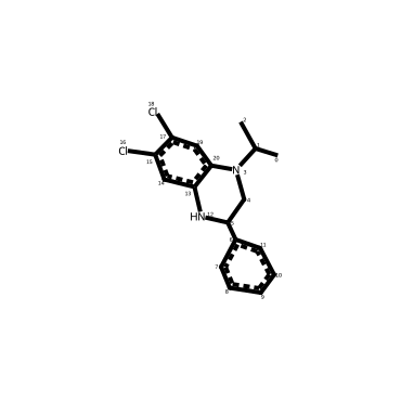 CC(C)N1CC(c2ccccc2)Nc2cc(Cl)c(Cl)cc21